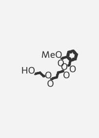 COC(=O)c1ccccc1C(=O)OC(=O)CCC(=O)OCCCO